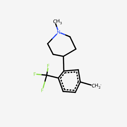 [CH2]c1ccc(C(F)(F)F)c(C2CCN(C)CC2)c1